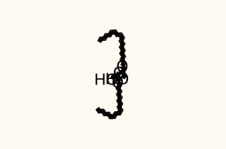 CCCCC/C=C\C/C=C\CCCCCCCCOCC(CO)OC(CO)COCCCCCCCC/C=C\C/C=C\CCCCC